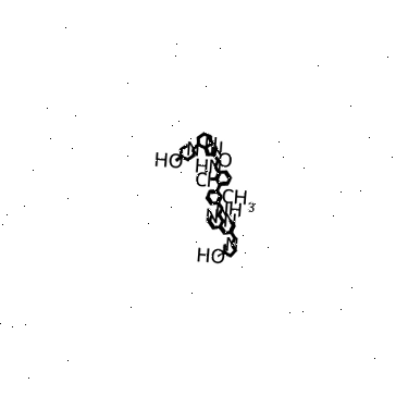 Cc1c(Nc2nccc3cc(CN4CC[C@@H](O)C4)cnc23)cccc1-c1cccc(NC(=O)c2cc3n(n2)CCCC3N2CCC(O)CC2)c1Cl